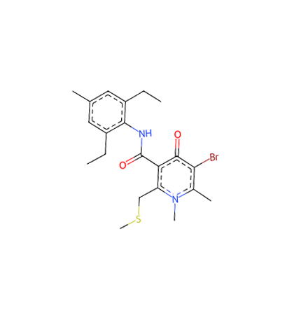 CCc1cc(C)cc(CC)c1NC(=O)c1c(CSC)n(C)c(C)c(Br)c1=O